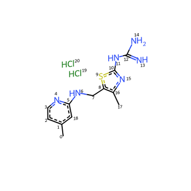 Cc1ccnc(NCc2sc(NC(=N)N)nc2C)c1.Cl.Cl